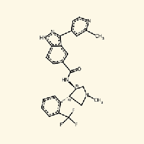 Cc1cc(-c2n[nH]c3ccc(C(=O)N[C@H]4CN(C)C[C@@H]4c4ccccc4C(F)(F)F)cc23)ccn1